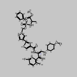 CCO[C@H]1CC[C@H](N/C=C(/NC(=O)c2csc(-c3cnn(COP(=O)(NC(C)C(=O)OC(C)C)Oc4ccccc4)c3)n2)C(=N)c2nc(F)ccc2F)CC1